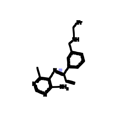 C=C/C(=N\c1c(C)ncnc1N)c1cccc(CNCC(C)C)c1